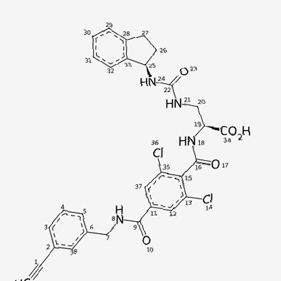 C#Cc1cccc(CNC(=O)c2cc(Cl)c(C(=O)N[C@@H](CNC(=O)N[C@@H]3CCc4ccccc43)C(=O)O)c(Cl)c2)c1